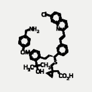 CC(C)(O)c1ccccc1CC[C@@H](SCC1(CC(=O)O)CC1)c1cccc(C=Cc2ccc3ccc(Cl)cc3n2)c1.COc1ccc(CN)cc1